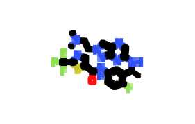 C[C@H](Nc1cnc2cn(CCN(C)C)nc2n1)c1cc(NC(=O)c2cnc(C(F)(F)F)s2)ccc1F